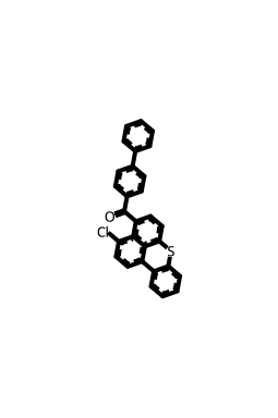 O=C(c1ccc(-c2ccccc2)cc1)c1ccc2c3c(ccc(Cl)c13)-c1ccccc1S2